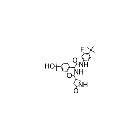 CC(C)(C)c1ccc(NC(=O)[C@H](NC(=O)[C@H]2CNC(=O)C2)c2ccc(C(C)(C)O)cc2)cc1F